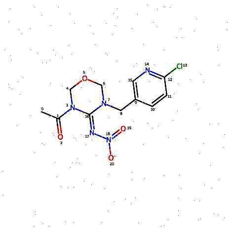 CC(=O)N1COCN(Cc2ccc(Cl)nc2)C1=N[N+](=O)[O-]